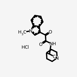 Cl.Cn1cc(C(=O)C(=O)NC2CN3CCC2CC3)c2ccccc21